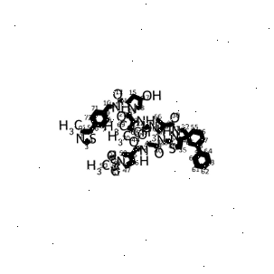 Cc1ncsc1-c1ccc(CNC(=O)[C@@H]2C[C@@H](O)CN2C(=O)[C@@H](NC(=O)N2CC(C(=O)NCC3(c4csc(NC(=O)CNC(=O)c5ccn(S(C)(=O)=O)c5)n4)C=CC=C(c4ccccc4)C3)C2)C(C)(C)C)cc1